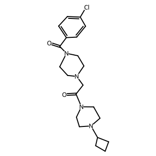 O=C(CN1CCN(C(=O)c2ccc(Cl)cc2)CC1)N1CCN(C2CCC2)CC1